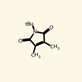 CC1=C(C)C(=O)N(C(C)(C)C)C1=O